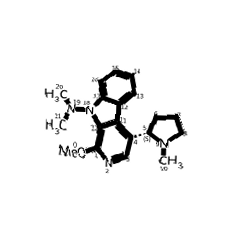 COc1ncc([C@@H]2CCCN2C)c2c3ccccc3n(N(C)C)c12